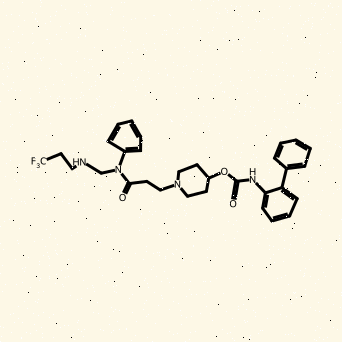 O=C(Nc1ccccc1-c1ccccc1)OC1CCN(CCC(=O)N(CNCCC(F)(F)F)c2ccccc2)CC1